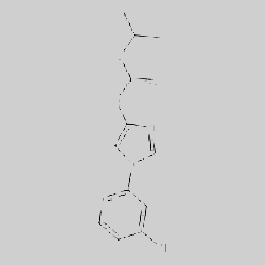 CC(C)OC(=O)Oc1cn(-c2cccc(Cl)c2)cn1